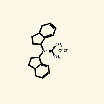 C[C](C)=[Zr+2]([CH]1CCC2CC=CC=C21)[CH]1CCC2CC=CC=C21.[Cl-].[Cl-]